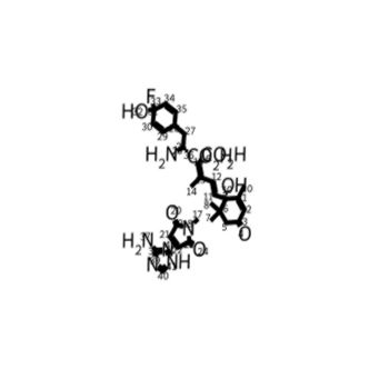 CC1=CC(=O)CC(C)(C)[C@@]1(O)/C=C/C(C)=C\C(=O)O.CN1C(=O)C=CC1=O.N[C@@H](CC1C=CC(O)(F)C=C1)C(=O)O.Nc1nc[nH]n1